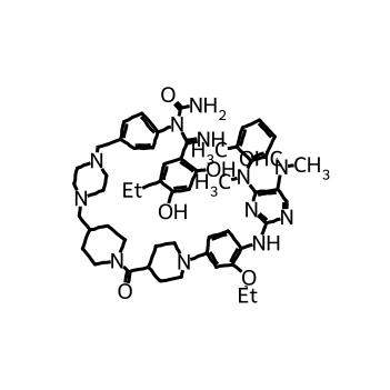 CCOc1cc(N2CCC(C(=O)N3CCC(CN4CCN(Cc5ccc(N(C(=N)c6cc(CC)c(O)cc6O)C(N)=O)cc5)CC4)CC3)CC2)ccc1Nc1ncc(N(C)C=O)c(N(C)c2ccccc2C)n1